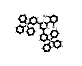 Cc1cccc(C)c1-c1nc(-c2cccc([Si](c3ccccc3)(c3ccccc3)c3ccccc3)c2)cc(-c2cccc(S(c3ccccc3)(c3ccccc3)c3ccccc3)c2)n1